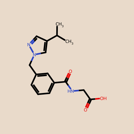 CC(C)c1cnn(Cc2cccc(C(=O)NCC(=O)O)c2)c1